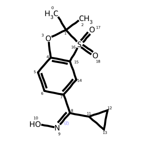 CC1(C)Oc2ccc(/C(=N\O)C3CC3)cc2S1(=O)=O